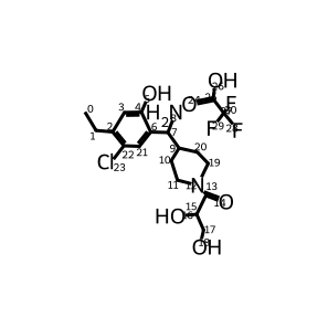 CCc1cc(O)c(C(N)C2CCN(C(=O)C(O)CO)CC2)cc1Cl.O=C(O)C(F)(F)F